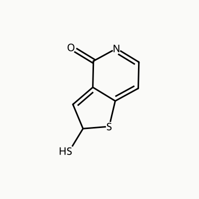 O=C1N=CC=C2SC(S)C=C12